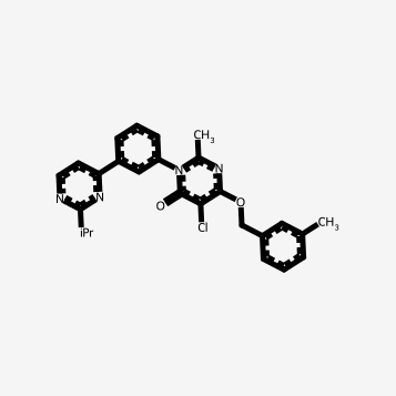 Cc1cccc(COc2nc(C)n(-c3cccc(-c4ccnc(C(C)C)n4)c3)c(=O)c2Cl)c1